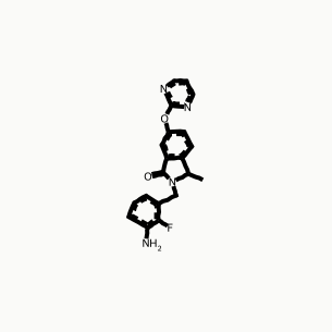 CC1c2ccc(Oc3ncccn3)cc2C(=O)N1Cc1cccc(N)c1F